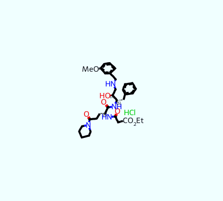 CCOC(=O)CC(=O)N[C@H](CCC(=O)N1CCCCC1)C(=O)N[C@@H](Cc1ccccc1)[C@@H](O)CNCc1cccc(OC)c1.Cl